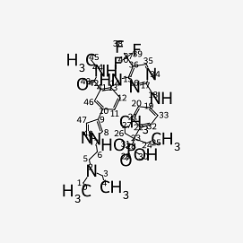 CCN(CC)CCn1cc(-c2ccc(Nc3nc(Nc4ccc(C(CC)(CC)P(=O)(O)O)cc4)ncc3C(F)(F)F)c(C(=O)NC)c2)cn1